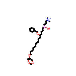 C[N+](C)(C)CCCP(O)CCCCC(CCCCCCCCCOC1=COCOC1)OCc1ccccc1